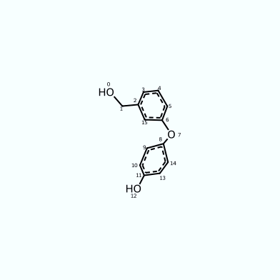 OCc1cccc(Oc2ccc(O)cc2)c1